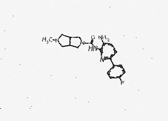 CN1CC2CN(C(=O)Nc3nc(-c4ccc(F)cc4)ccc3N)CC2C1